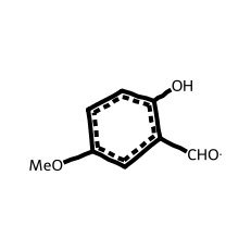 COc1ccc(O)c([C]=O)c1